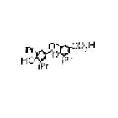 Cc1cc(C(=O)O)cc(C(C)C)c1OC(=O)c1cc(C(C)C)c(O)c(C(C)C)c1